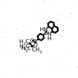 CC1(C)OB(c2ccc(B3Nc4cccc5cccc(c45)N3)cc2)OC1(C)C